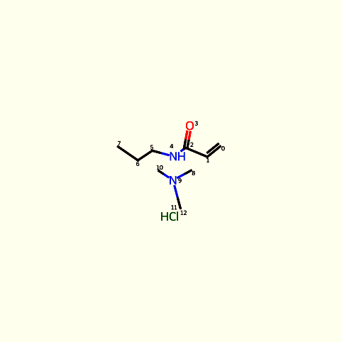 C=CC(=O)NCCC.CN(C)C.Cl